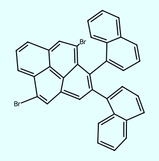 Brc1cc2cc(-c3cccc4ccccc34)c(-c3cccc4ccccc34)c3c(Br)cc4cccc1c4c23